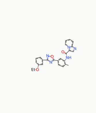 CCOc1cccc(-c2noc(-c3ccc(C)c(NC(=O)c4cnc5ccccn45)c3)n2)c1